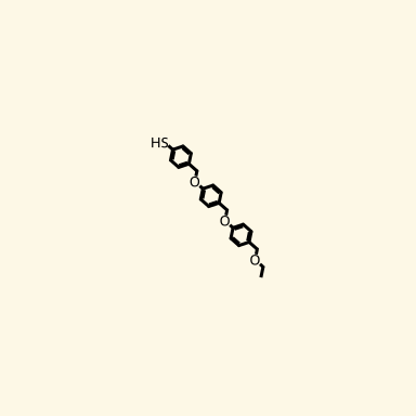 CCOCc1ccc(OCc2ccc(OCc3ccc(S)cc3)cc2)cc1